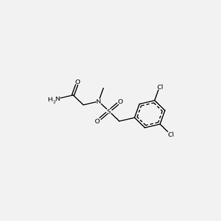 CN(CC(N)=O)S(=O)(=O)Cc1cc(Cl)cc(Cl)c1